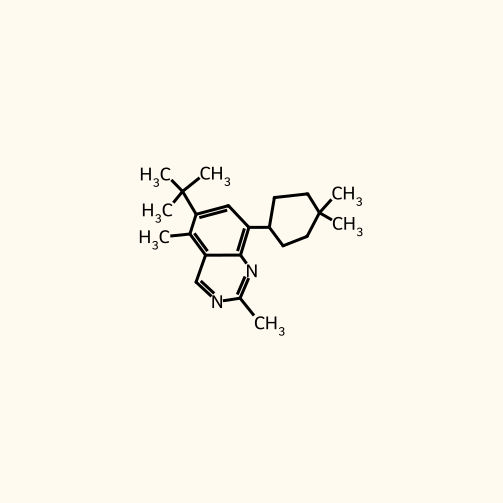 Cc1ncc2c(C)c(C(C)(C)C)cc(C3CCC(C)(C)CC3)c2n1